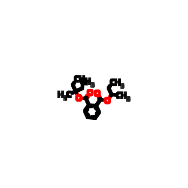 CCC(C)OC(=O)c1ccccc1C(=O)OC(C)(CC)CC